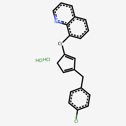 Cl.Cl.Clc1ccc(CC2=CC[C]([Cr][c]3cccc4cccnc34)=C2)cc1